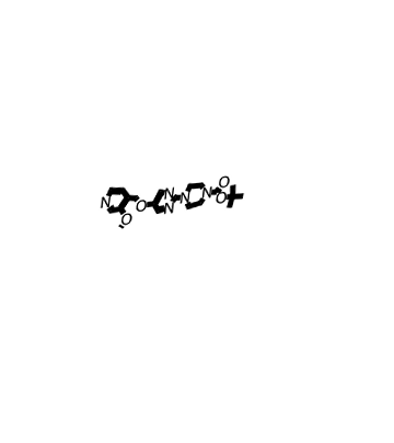 COc1cnccc1COc1cnc(N2CCN(C(=O)OC(C)(C)C)CC2)nc1